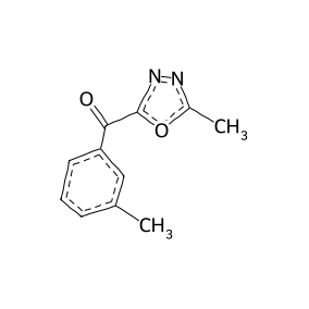 Cc1cccc(C(=O)c2nnc(C)o2)c1